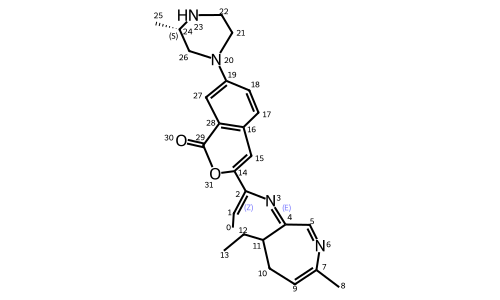 C/C=C(\N=C1\C=NC(C)=CCC1CC)c1cc2ccc(N3CCN[C@@H](C)C3)cc2c(=O)o1